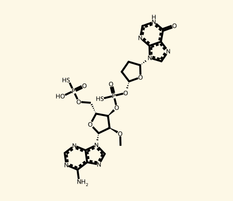 CO[C@@H]1[C@H](OP(=O)(S)O[C@@H]2CC[C@H](n3cnc4c(=O)[nH]cnc43)O2)[C@@H](COP(=O)(O)S)O[C@H]1n1cnc2c(N)ncnc21